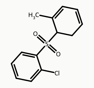 CC1=CC=CCC1S(=O)(=O)c1ccccc1Cl